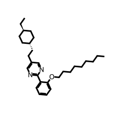 CCCCCCCCCOc1ccccc1-c1ncc(CC[C@H]2CC[C@H](CC)CC2)cn1